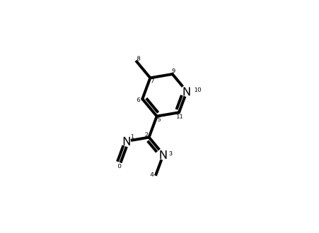 C=N/C(=N\C)C1=CC(C)CN=C1